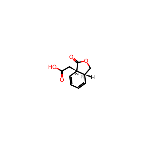 O=C(O)C[C@]12C=CC=C[C@H]1COC2=O